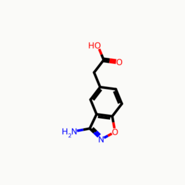 Nc1noc2ccc(CC(=O)O)cc12